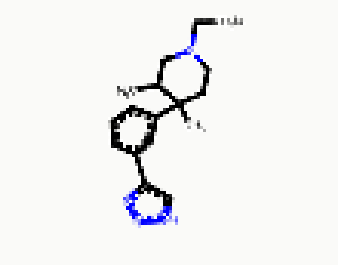 CCOC(=O)CN1CCC(C)(c2cccc(-c3c[nH]nn3)c2)C(C)C1